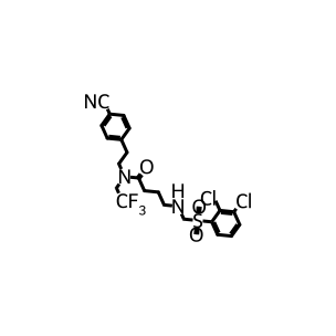 N#Cc1ccc(CCN(CC(F)(F)F)C(=O)CCCNCS(=O)(=O)c2cccc(Cl)c2Cl)cc1